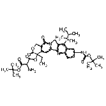 CCC1(OC(=O)C(N)C(=O)OC(C)(C)C)C(=O)OCc2c1cc1n(c2=O)Cc2c-1nc1ccc(NC(=O)OC(C)(C)C)cc1c2[Si](C)(C)C(C)C